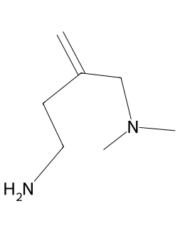 C=C(CCN)CN(C)C